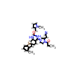 C=CC(=O)N1CCN(C2NC(OCC3CCCN3C)NC3C[C@@]4(CCC32)Cc2c(C)cccc2S4)CC1CC#N